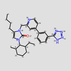 CCCCc1cn(C2C(C)CCCC2CC)c(=O)n1Cc1cc(-c2cccc(-c3nnn[nH]3)c2)ccn1